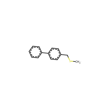 [CH2]SCc1ccc(-c2ccccc2)cc1